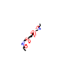 CCC(=O)N(C)CCOC(=O)/C=C/C(=O)OCCN(C)C(=O)CC